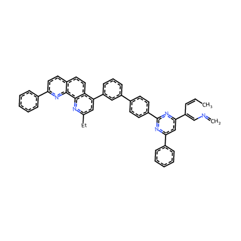 C=N/C=C(\C=C/C)c1cc(-c2ccccc2)nc(-c2ccc(-c3cccc(-c4cc(CC)nc5c4ccc4ccc(-c6ccccc6)nc45)c3)cc2)n1